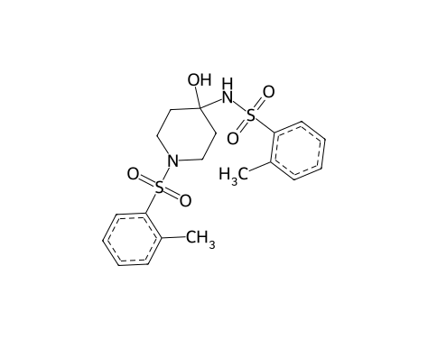 Cc1ccccc1S(=O)(=O)NC1(O)CCN(S(=O)(=O)c2ccccc2C)CC1